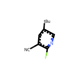 CC(C)(C)c1cnc(F)c(C#N)c1